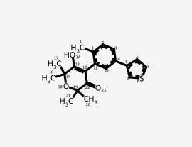 Cc1ccc(-c2ccsc2)cc1C1=C(O)C(C)(C)OC(C)(C)C1=O